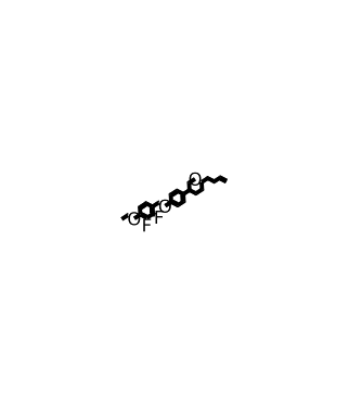 C=CCCC1CCC(c2ccc(OCc3ccc(OCC)c(F)c3F)cc2)CO1